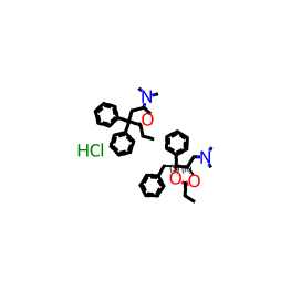 CCC(=O)C(CC(C)N(C)C)(c1ccccc1)c1ccccc1.CCC(=O)O[C@](Cc1ccccc1)(c1ccccc1)[C@H](C)CN(C)C.Cl